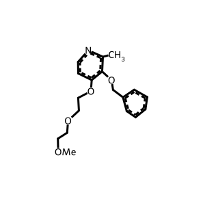 COCCOCCOc1ccnc(C)c1OCc1ccccc1